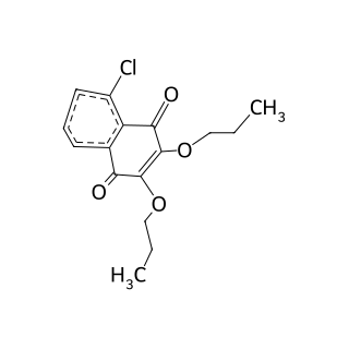 CCCOC1=C(OCCC)C(=O)c2c(Cl)cccc2C1=O